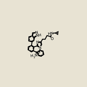 NC(=O)c1cccc(-c2ccc3cn[nH]c3c2)c1-c1nc(CCCC(=O)NC2CC2)cn1-c1ccccc1